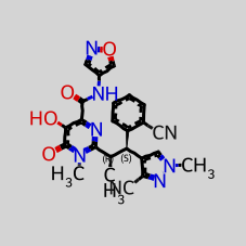 C[C@@H](c1nc(C(=O)Nc2cnoc2)c(O)c(=O)n1C)[C@@H](c1ccccc1C#N)c1cn(C)nc1C#N